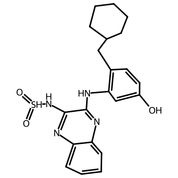 O=[SH](=O)Nc1nc2ccccc2nc1Nc1cc(O)ccc1CC1CCCCC1